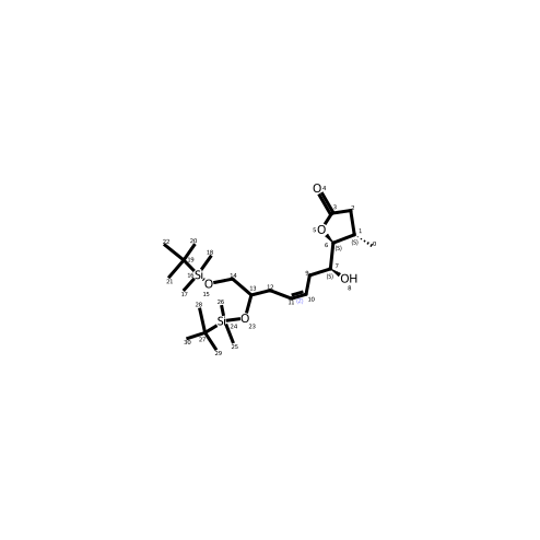 C[C@H]1CC(=O)O[C@@H]1[C@@H](O)C/C=C\CC(CO[Si](C)(C)C(C)(C)C)O[Si](C)(C)C(C)(C)C